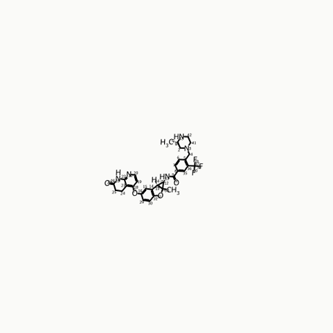 C[C@H]1CN(Cc2ccc(C(=O)N[C@H]3[C@@H]4c5cc(Oc6ccnc7c6CCC(=O)N7)ccc5OC34C)cc2C(F)(F)F)CCN1